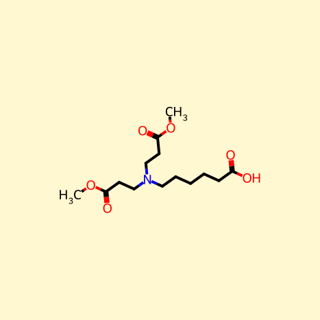 COC(=O)CCN(CCCCCC(=O)O)CCC(=O)OC